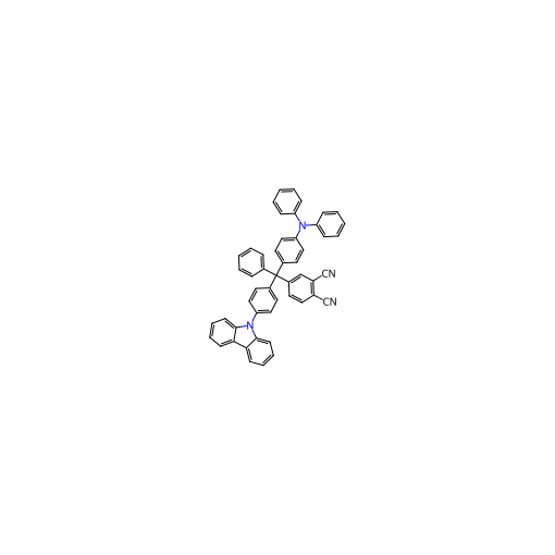 N#Cc1ccc(C(c2ccccc2)(c2ccc(N(c3ccccc3)c3ccccc3)cc2)c2ccc(-n3c4ccccc4c4ccccc43)cc2)cc1C#N